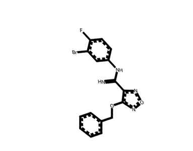 N=C(Nc1ccc(F)c(Br)c1)c1nonc1OCc1ccccc1